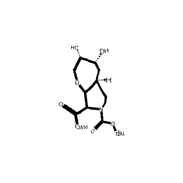 COC(=O)C1C2OC[C@H](O)[C@H](O)C[C@H]2CN1C(=O)OC(C)(C)C